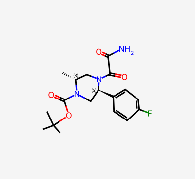 C[C@@H]1CN(C(=O)C(N)=O)[C@@H](c2ccc(F)cc2)CN1C(=O)OC(C)(C)C